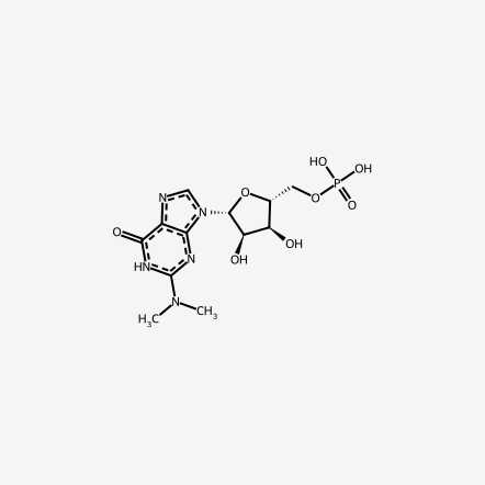 CN(C)c1nc2c(ncn2[C@@H]2O[C@H](COP(=O)(O)O)[C@@H](O)[C@H]2O)c(=O)[nH]1